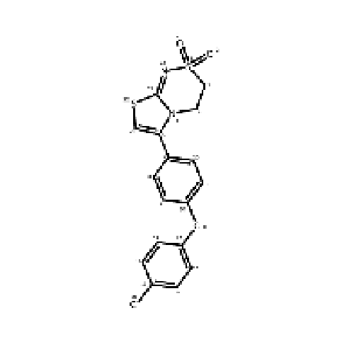 O=S1(=O)CCN2C(c3ccc(Oc4ccc(Cl)cc4)cc3)=CSC2=N1